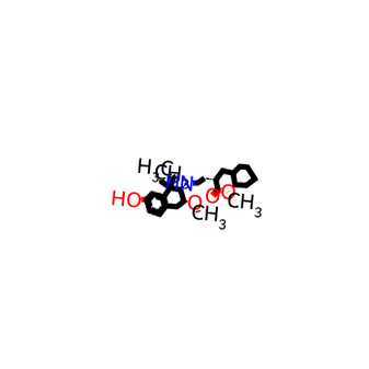 CCC1(CC)c2cc(O)ccc2C[C@@H](OC)[C@H]1NCC[C@H](CC1CCCCC1)C(=O)OC